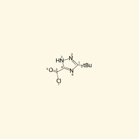 CC(C)(C)c1n[nH]c(C(=O)Cl)n1